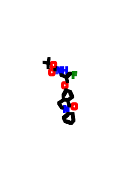 CC(C)(C)OC(=O)NC/C(=C/F)COc1ccc2c(c1)CCN(c1ccccc1)C2=O